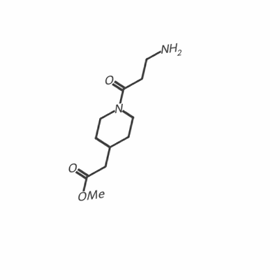 COC(=O)CC1CCN(C(=O)CCN)CC1